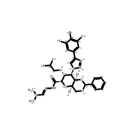 CN(C)C=NNC(=O)[C@@H]1O[C@@H]2COC(c3ccccc3)O[C@@H]2[C@H](n2cc(-c3cc(F)c(Br)c(F)c3)nn2)[C@H]1OCC(F)F